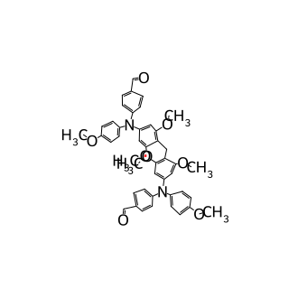 COc1ccc(N(c2ccc(C=O)cc2)c2cc(OC)c(Cc3c(OC)cc(N(c4ccc(C=O)cc4)c4ccc(OC)cc4)cc3OC)c(OC)c2)cc1